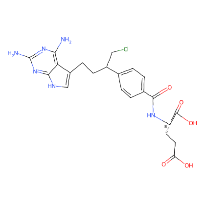 Nc1nc(N)c2c(CCC(CCl)c3ccc(C(=O)N[C@@H](CCC(=O)O)C(=O)O)cc3)c[nH]c2n1